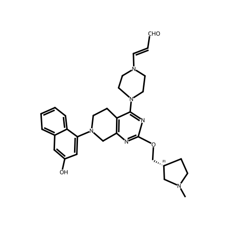 CN1CC[C@@H](COc2nc3c(c(N4CCN(C=CC=O)CC4)n2)CCN(c2cc(O)cc4ccccc24)C3)C1